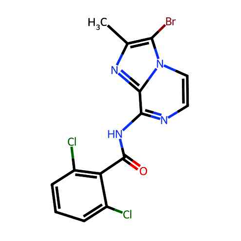 Cc1nc2c(NC(=O)c3c(Cl)cccc3Cl)nccn2c1Br